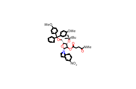 CNC(=O)CCC(=O)OC1[C@@H](O[Si](C)(C)C(C)(C)C)[C@@H](COC(c2ccccc2)(c2ccc(OC)cc2)c2ccc(OC)cc2)O[C@H]1n1ccc2cc([N+](=O)[O-])ccc21